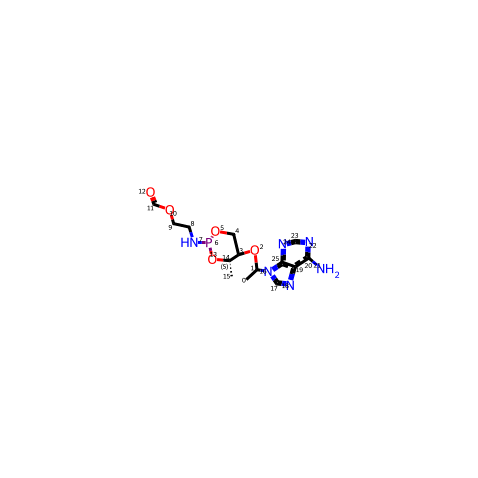 CC(OC1COP(NCCOC=O)O[C@H]1C)n1cnc2c(N)ncnc21